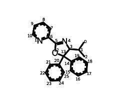 CC(C)C1N=C(c2ccccn2)OC1(c1ccccc1)c1ccccc1